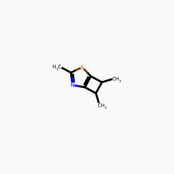 Cc1nc2c(s1)C(C)C2C